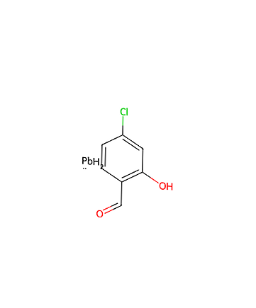 O=Cc1ccc(Cl)cc1O.[PbH2]